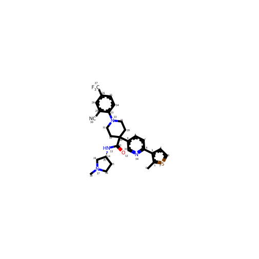 Cc1sccc1-c1ccc(C2(C(=O)N[C@@H]3CCN(C)C3)CCN(c3ccc(C(F)(F)F)cc3C#N)CC2)cn1